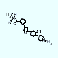 CC(C#N)NC(=O)c1cccc(-c2cc(-c3ccc(N4CCN(C)CC4)c(Cl)c3)on2)c1